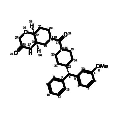 COc1cccc([C@H](c2ccccc2)C2CCN(C(=O)N3CC[C@@H]4OCC(=O)N[C@@H]4C3)CC2)c1